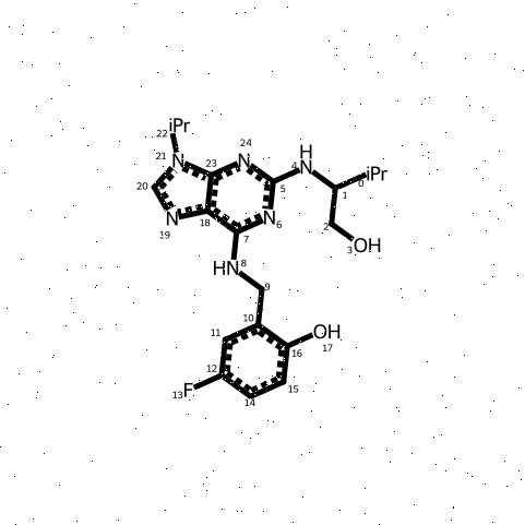 CC(C)C(CO)Nc1nc(NCc2cc(F)ccc2O)c2ncn(C(C)C)c2n1